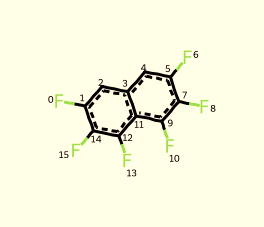 Fc1cc2cc(F)c(F)c(F)c2c(F)c1F